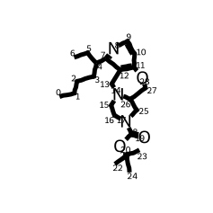 CCCCC(CC)c1nccc2c1CN1CCN(C(=O)OC(C)(C)C)CC1CO2